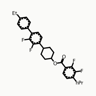 CCCc1ccc(C(=O)OC2CCC(c3ccc(-c4ccc(CC)cc4)c(F)c3F)CC2)c(F)c1F